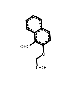 O=[C]COc1ccc2ccccc2c1C=O